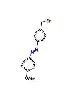 COc1ccc(/N=N/c2ccc(CBr)cc2)cc1